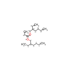 CCCCC(CC)C[O][Al]([CH2]C)[O]CC(CC)CCCC